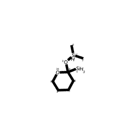 C[SiH](C)OC1([SiH3])CCCCO1